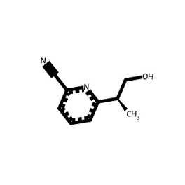 C[C@H](CO)c1cccc(C#N)n1